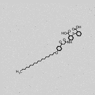 CCCCCCCCCCCCCCCCCCOc1ccc(C(=O)CC(=O)Nc2ccc(Sc3ccccc3C(=O)O)c(C(=O)O)c2)cc1